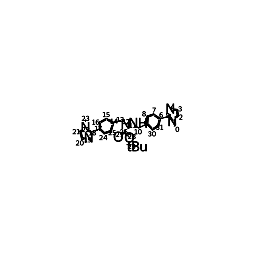 Cn1ccnc1-c1ccc(CNN(Cc2ccc(-c3nccn3C)cc2)C(=O)OC(C)(C)C)cc1